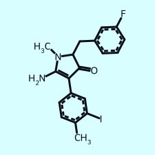 Cc1ccc(C2=C(N)N(C)C(Cc3cccc(F)c3)C2=O)cc1I